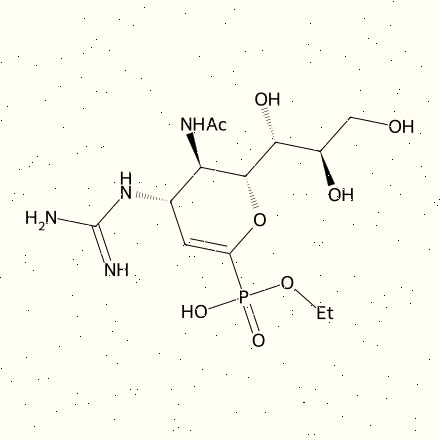 CCOP(=O)(O)C1=C[C@H](NC(=N)N)[C@@H](NC(C)=O)[C@H]([C@H](O)[C@H](O)CO)O1